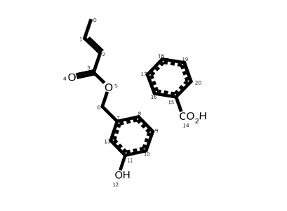 CC=CC(=O)OCc1cccc(O)c1.O=C(O)c1ccccc1